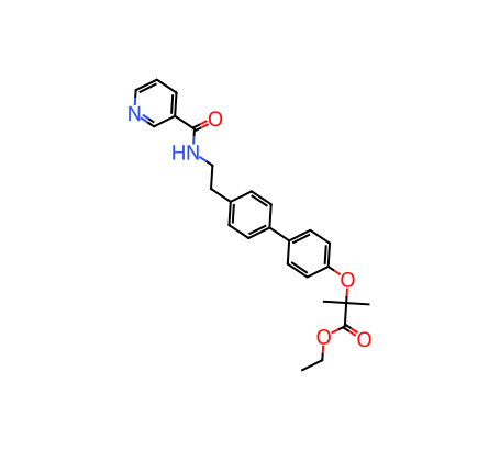 CCOC(=O)C(C)(C)Oc1ccc(-c2ccc(CCNC(=O)c3cccnc3)cc2)cc1